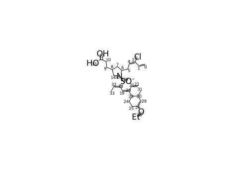 C=C/C(Cl)=C\CC1CC(CCC(O)O)CN1[S+]([O-])C(/C=C(\C=C)C1CCC(OCC)=CC1C)=C/C